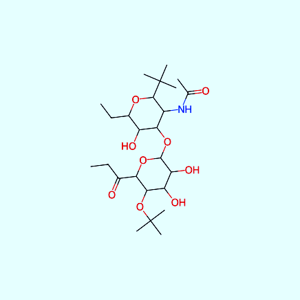 CCC(=O)C1OC(OC2C(O)C(CC)OC(C(C)(C)C)C2NC(C)=O)C(O)C(O)C1OC(C)(C)C